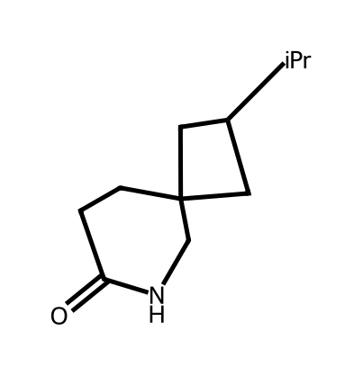 CC(C)C1CC2(CCC(=O)NC2)C1